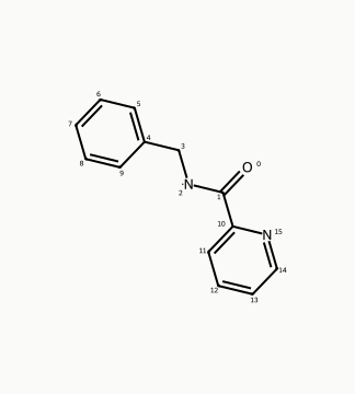 O=C([N]Cc1ccccc1)c1ccccn1